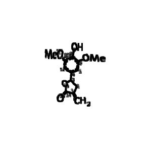 C=C1CC(c2cc(OC)c(O)c(OC)c2)OC1=O